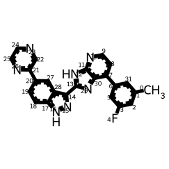 Cc1cc(F)cc(-c2ccnc3[nH]c(-c4n[nH]c5ccc(-c6cnccn6)cc45)nc23)c1